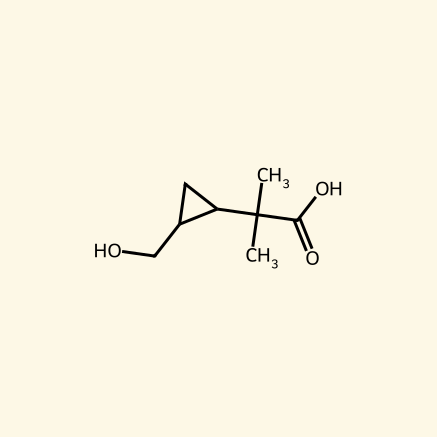 CC(C)(C(=O)O)C1CC1CO